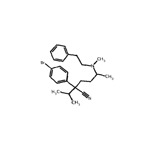 CC(CCC(C#N)(c1ccc(Br)cc1)C(C)C)N(C)CCc1ccccc1